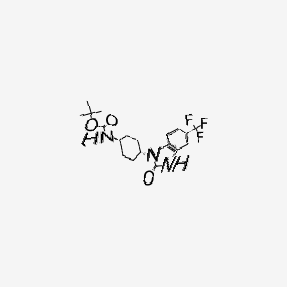 CC(C)(C)OC(=O)N[C@H]1CC[C@H](n2c(=O)[nH]c3cc(C(F)(F)F)ccc32)CC1